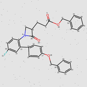 O=C(CCC1CN(c2ccc(F)cc2-c2ccc(OCc3ccccc3)cc2)C1=O)OCc1ccccc1